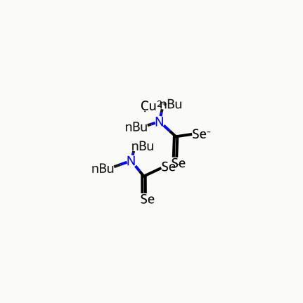 CCCCN(CCCC)C(=[Se])[Se-].CCCCN(CCCC)C(=[Se])[Se-].[Cu+2]